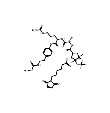 CC(C)[C@@H](NC(=O)C1C[C@@H]2OC(C)(C)O[C@@H]2[C@@H]1NC(=O)CCCCCN1C(=O)C=CC1=O)C(=O)NC(CCCNC(N)=O)C(=O)Nc1ccc(CCNC(=O)OC(C)(C)C)cc1